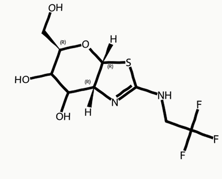 OC[C@H]1O[C@@H]2SC(NCC(F)(F)F)=N[C@@H]2C(O)C1O